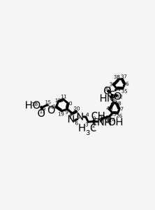 CC(C)(CCn1cnc(-c2cccc(OCC(=O)O)c2)c1)NCC(O)c1cccc(NS(=O)(=O)c2ccccc2)c1